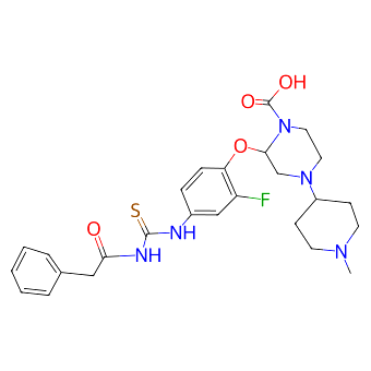 CN1CCC(N2CCN(C(=O)O)C(Oc3ccc(NC(=S)NC(=O)Cc4ccccc4)cc3F)C2)CC1